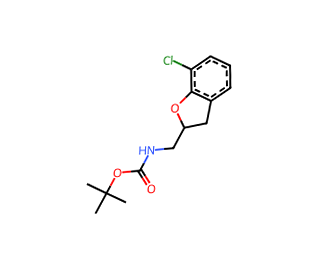 CC(C)(C)OC(=O)NCC1Cc2cccc(Cl)c2O1